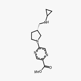 COC(=O)c1cnc(N2CC[C@H](CNC3CC3)C2)cn1